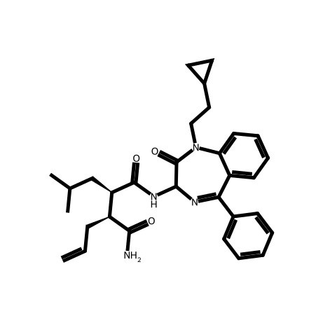 C=CC[C@H](C(N)=O)[C@@H](CC(C)C)C(=O)NC1N=C(c2ccccc2)c2ccccc2N(CCC2CC2)C1=O